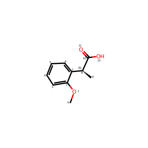 COc1ccccc1[C@H](C)C(=O)O